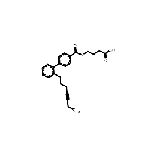 CCC#CCCCc1ccccc1-c1ccc(C(=O)NCCCC(=O)O)cc1